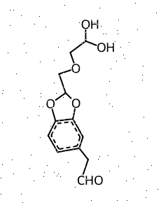 O=CCc1ccc2c(c1)OC(COCC(O)O)O2